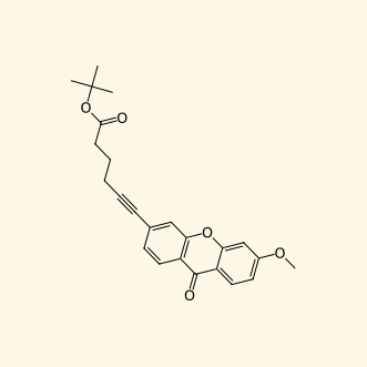 COc1ccc2c(=O)c3ccc(C#CCCCC(=O)OC(C)(C)C)cc3oc2c1